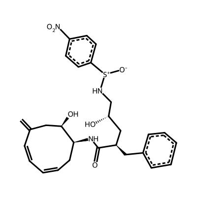 C=C1/C=C\C=C/C[C@H](NC(=O)[C@H](Cc2ccccc2)C[C@H](O)CN[S+]([O-])c2ccc([N+](=O)[O-])cc2)[C@H](O)C1